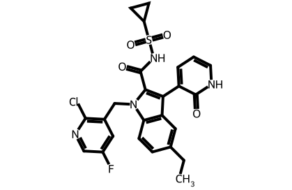 CCc1ccc2c(c1)c(-c1ccc[nH]c1=O)c(C(=O)NS(=O)(=O)C1CC1)n2Cc1cc(F)cnc1Cl